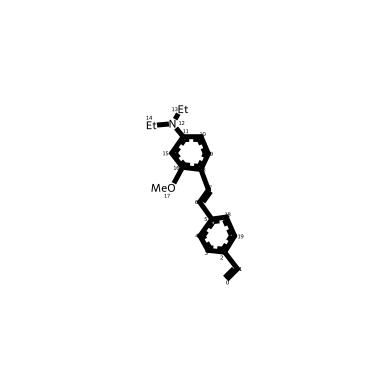 C=Cc1ccc(/C=C/c2ccc(N(CC)CC)cc2OC)cc1